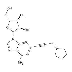 Nc1nc(C#CCC2CCCC2)nc2c1ncn2[C@@H]1O[C@H](CO)[C@@H](O)[C@H]1O